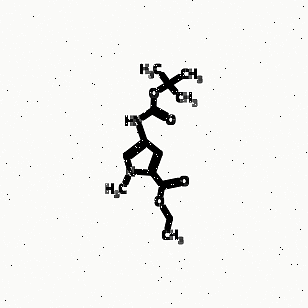 CCOC(=O)c1cc(NC(=O)OC(C)(C)C)cn1C